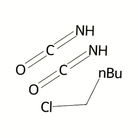 CCCCCCl.N=C=O.N=C=O